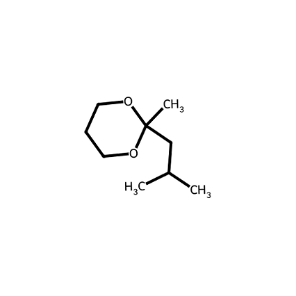 CC(C)CC1(C)OCCCO1